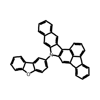 c1ccc2c(c1)-c1cccc3c1c-2cc1c3c2cc3ccccc3cc2n1-c1ccc2oc3ccccc3c2c1